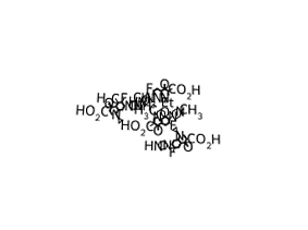 CCn1cc(C(=O)O)c(=O)c2cc(F)c(N3CCNCC3)nc21.C[C@H]1COc2c(N3CCN(C)CC3)c(F)cc3c(=O)c(C(=O)O)cn1c23.Cc1c(F)c(N2CCNC(C)C2)cc2c1c(=O)c(C(=O)O)cn2C1CC1.O=C(O)c1cn(C2CC2)c2cc(N3CCNCC3)c(F)cc2c1=O